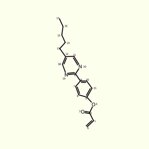 C=CC(=O)Oc1ccc(-c2ncc(CCCCC)cn2)cc1